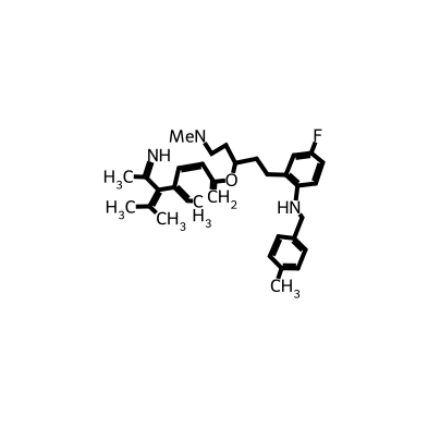 C=C(/C=C\C(=C/C)C(C(C)=N)=C(C)C)OC(CCNC)CCc1cc(F)ccc1NCc1ccc(C)cc1